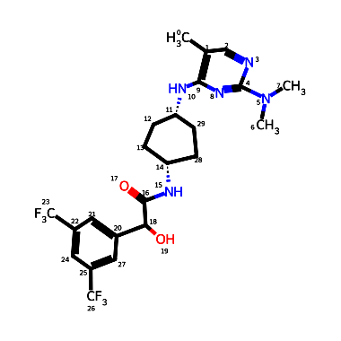 Cc1cnc(N(C)C)nc1N[C@H]1CC[C@@H](NC(=O)C(O)c2cc(C(F)(F)F)cc(C(F)(F)F)c2)CC1